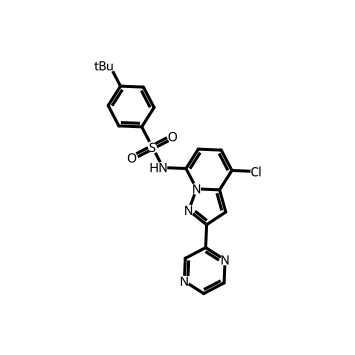 CC(C)(C)c1ccc(S(=O)(=O)Nc2ccc(Cl)c3cc(-c4cnccn4)nn23)cc1